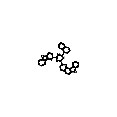 c1ccc2c(-c3nc(-c4ccc5oc6ccccc6c5c4)nc(-c4ccc5ccc6oc7ccccc7c6c5c4)n3)cccc2c1